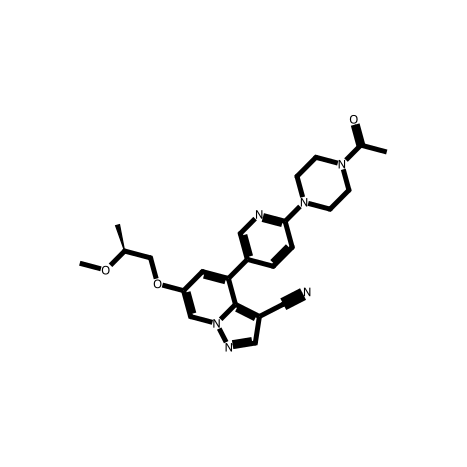 CO[C@@H](C)COc1cc(-c2ccc(N3CCN(C(C)=O)CC3)nc2)c2c(C#N)cnn2c1